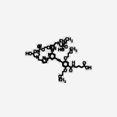 CCO[PH](=O)OCN(CC(=O)O)Cc1ccn(-c2cc(C#Cc3cc(OCCOC)c(C(=O)NCCCC(=O)O)cc3OCCOC)cc(-n3ccc(CN(C)CP(=O)(O)OCC)n3)n2)n1